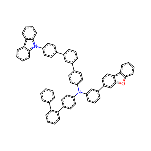 c1ccc(-c2ccccc2-c2ccc(N(c3ccc(-c4cccc(-c5ccc(-n6c7ccccc7c7ccccc76)cc5)c4)cc3)c3cccc(-c4ccc5c(c4)oc4ccccc45)c3)cc2)cc1